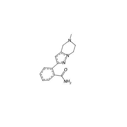 CN1CCn2nc(-c3ccccc3C(N)=O)cc2C1